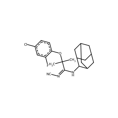 CC(C)(Oc1ccc(Cl)cc1F)/C(=N\C#N)NC1C2CC3CC(C2)CC1C3